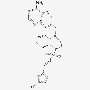 CC[C@H]1C(C=O)N(Cc2ccc3c(N)ncnc3c2)CCN1S(=O)(=O)C=Cc1ccc(Cl)s1